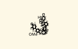 COc1cc(-c2cn(C)c(=O)c(C)c2C)cc(OC)c1CN1CCC(F)(F)C2(CCN(c3cccc4c3n(C)c(=O)n4C3CCC(=O)NC3=O)CC2)C1